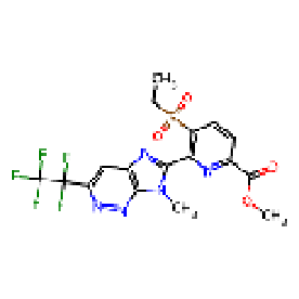 CCS(=O)(=O)c1ccc(C(=O)OC)nc1-c1nc2cc(C(F)(F)C(F)(F)F)nnc2n1C